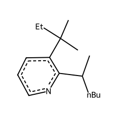 CCCCC(C)c1ncccc1C(C)(C)CC